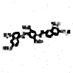 COc1cc(N=Nc2ccc(N)c3cc(S(=O)(=O)O)ccc23)c(OC)cc1N=Nc1ccc2cc(S(=O)(=O)O)cc(S(=O)(=O)O)c2c1